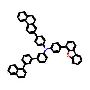 c1cc(-c2cccc(N(c3ccc(-c4ccc5c(ccc6ccccc65)c4)cc3)c3ccc(-c4cccc5c4oc4ccccc45)cc3)c2)cc(-c2cccc3ccccc23)c1